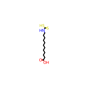 O=C(O)CCCCCCCCCCCNC(=S)S